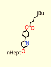 CCCCCCCOc1ccc(-c2ccc(OC(=O)CCCCC(C)CC)cc2)nc1